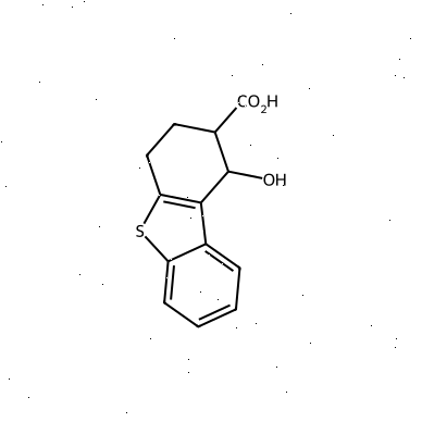 O=C(O)C1CCc2sc3ccccc3c2C1O